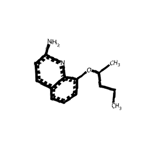 CCCC(C)Oc1cccc2ccc(N)nc12